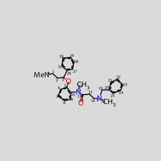 CNCCC(Oc1ccccc1N(C)C(=O)CCN(C)Cc1ccccc1)c1ccccc1